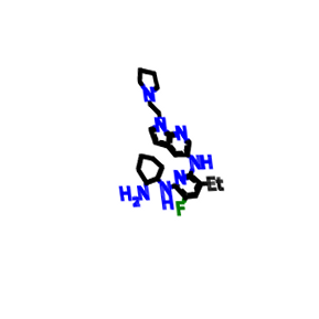 CCc1cc(F)c(NC2CCCCC2N)nc1Nc1cnc2c(ccn2CCN2CCCC2)c1